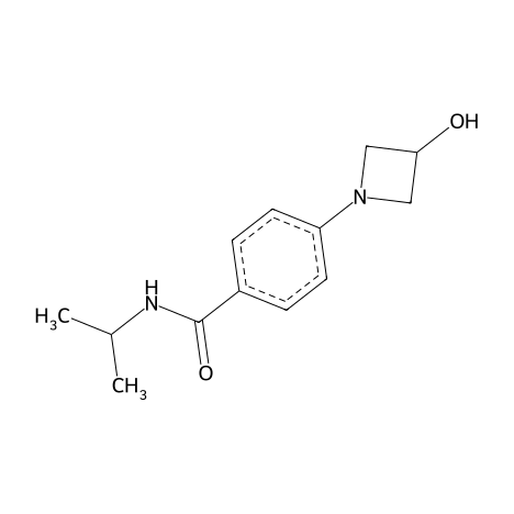 CC(C)NC(=O)c1ccc(N2CC(O)C2)cc1